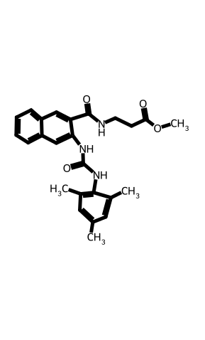 COC(=O)CCNC(=O)c1cc2ccccc2cc1NC(=O)Nc1c(C)cc(C)cc1C